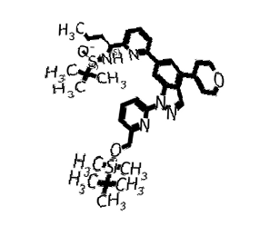 CCC[C@H](N[S@+]([O-])C(C)(C)C)c1cccc(-c2cc(C3=CCOCC3)c3cnn(-c4cccc(CO[Si](C)(C)C(C)(C)C)n4)c3c2)n1